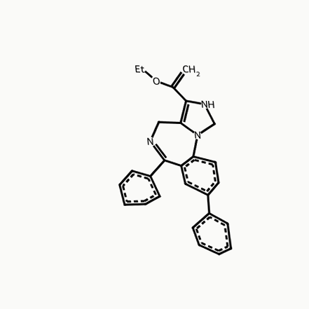 C=C(OCC)C1=C2CN=C(c3ccccc3)c3cc(-c4ccccc4)ccc3N2CN1